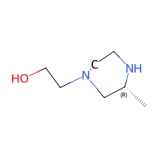 C[C@@H]1CN(CCO)CCN1